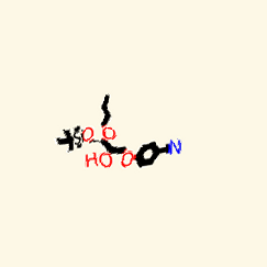 CCCCO[C@@H](CO[Si](C)(C)C(C)(C)C)[C@H](O)COc1ccc(C#N)cc1